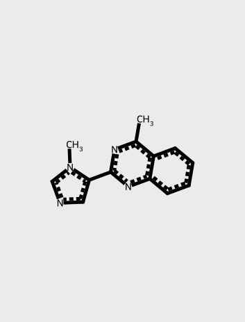 Cc1nc(-c2cncn2C)nc2ccccc12